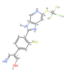 Cn1c(-c2ccc(/C(C=N)=C/O)cc2S)nc2cc(SC(F)(F)F)ncc21